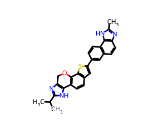 Cc1nc2ccc3cc(-c4cc5ccc6c(c5s4)OCc4nc(C(C)C)[nH]c4-6)ccc3c2[nH]1